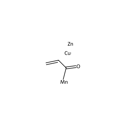 C=C[C](=O)[Mn].[Cu].[Zn]